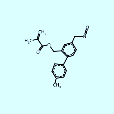 C=C(C)C(=O)OCc1cc(CN=O)ccc1-c1ccc(C)cc1